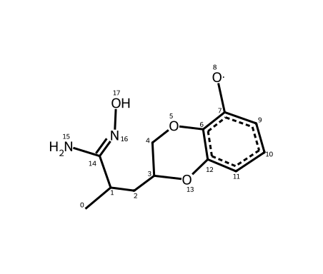 CC(CC1COc2c([O])cccc2O1)C(N)=NO